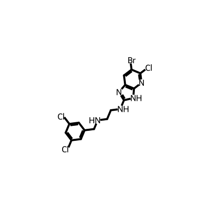 Clc1cc(Cl)cc(CNCCNc2nc3cc(Br)c(Cl)nc3[nH]2)c1